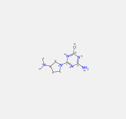 CN(C)C1CCN(c2nc(N)nc(Cl)n2)C1